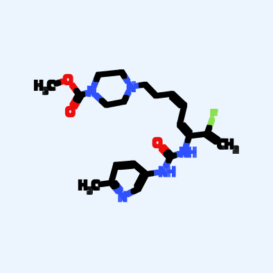 C=C(F)/C(=C\C=C/CCN1CCN(C(=O)OC)CC1)NC(=O)Nc1ccc(C)nc1